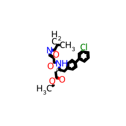 C=C(C)c1ncc(C(=O)N[C@@H](CC(=O)OCC)Cc2ccc(-c3cccc(Cl)c3)cc2)o1